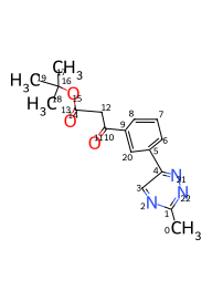 Cc1ncc(-c2cccc(C(=O)CC(=O)OC(C)(C)C)c2)nn1